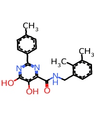 Cc1ccc(-c2nc(O)c(O)c(C(=O)NCc3cccc(C)c3C)n2)cc1